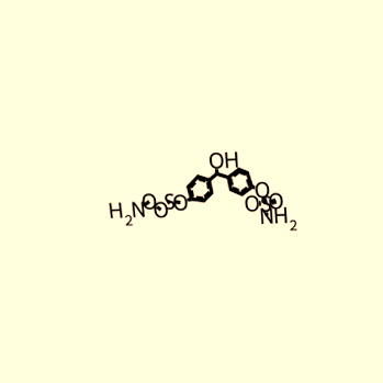 NOOSOc1ccc(C(O)c2ccc(OS(N)(=O)=O)cc2)cc1